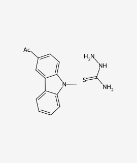 CC(=O)c1ccc2c(c1)c1ccccc1n2C.NNC(N)=S